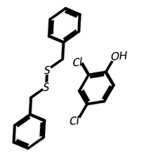 Oc1ccc(Cl)cc1Cl.c1ccc(CSSCc2ccccc2)cc1